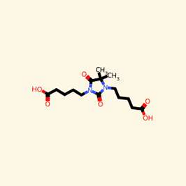 CC1(C)C(=O)N(CCCCC(=O)O)C(=O)N1CCCCC(=O)O